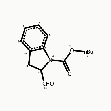 CCCCOC(=O)N1c2ccccc2CC1C=O